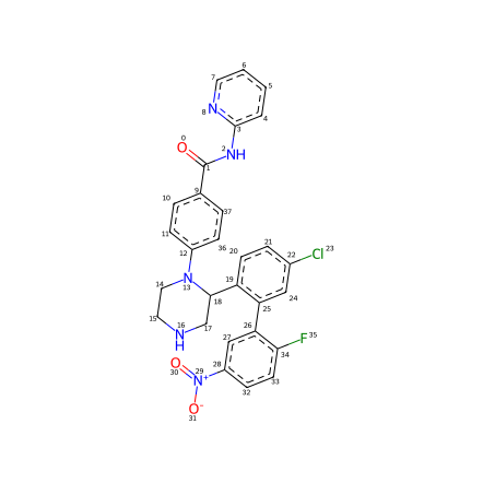 O=C(Nc1ccccn1)c1ccc(N2CCNCC2c2ccc(Cl)cc2-c2cc([N+](=O)[O-])ccc2F)cc1